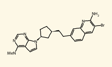 CNc1ncnc2c1ccn2[C@H]1CC[C@@H](CCc2ccc3cc(Br)c(N)nc3c2)C1